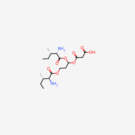 CC[C@H](C)[C@H](N)C(=O)OCCC(OC(=O)CC(=O)O)OC(=O)[C@@H](N)[C@@H](C)CC